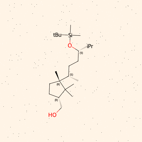 CC(C)[C@H](CC[C@H](C)[C@@]1(C)CC[C@@H](CO)C1(C)C)O[Si](C)(C)C(C)(C)C